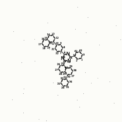 c1ccc(-c2nc(-c3ccc(-c4cccc5ccccc45)cc3)nc(-c3cccc4c(-c5ccccc5)cccc34)n2)cc1